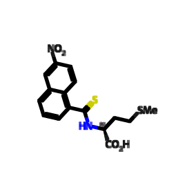 CSCC[C@H](NC(=S)c1cccc2cc([N+](=O)[O-])ccc12)C(=O)O